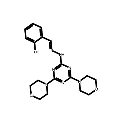 Oc1ccccc1C=NNc1nc(N2CCOCC2)nc(N2CCOCC2)n1